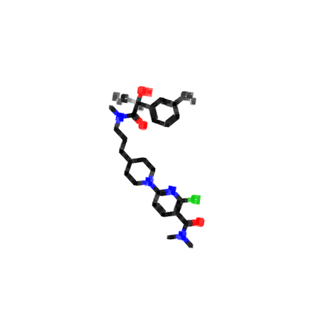 CN(C)C(=O)c1ccc(N2CCC(CCCN(C)C(=O)[C@@](O)(c3cccc(C(F)(F)F)c3)C(F)(F)F)CC2)nc1Cl